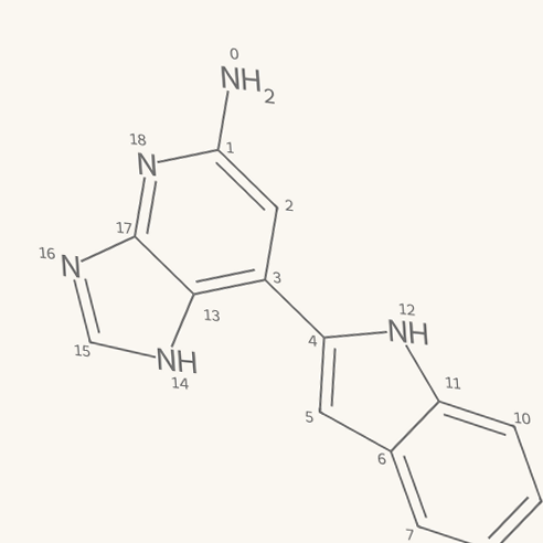 Nc1cc(-c2cc3ccccc3[nH]2)c2[nH]cnc2n1